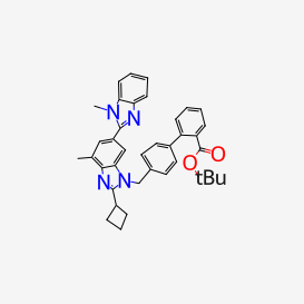 Cc1cc(-c2nc3ccccc3n2C)cc2c1nc(C1CCC1)n2Cc1ccc(-c2ccccc2C(=O)OC(C)(C)C)cc1